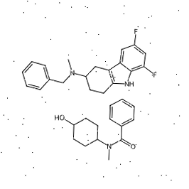 CN(C(=O)c1ccccc1)C1CCC(O)CC1.CN(Cc1ccccc1)C1CCc2[nH]c3c(F)cc(F)cc3c2C1